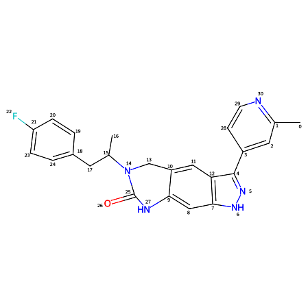 Cc1cc(-c2n[nH]c3cc4c(cc23)CN(C(C)Cc2ccc(F)cc2)C(=O)N4)ccn1